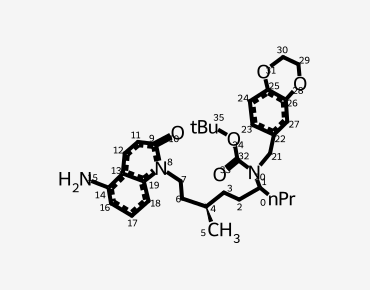 CCCC(CC[C@@H](C)CCn1c(=O)ccc2c(N)cccc21)N(Cc1ccc2c(c1)OCCO2)C(=O)OC(C)(C)C